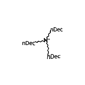 CCCCCCCCCCCCCCCCCC[N+](C)(CCCCCCCCCCCCCCCC)CCCCCCCCCCCCCCCC